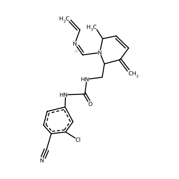 C=C/N=C\N1C(C)C=CC(=C)C1CNC(=O)Nc1ccc(C#N)c(Cl)c1